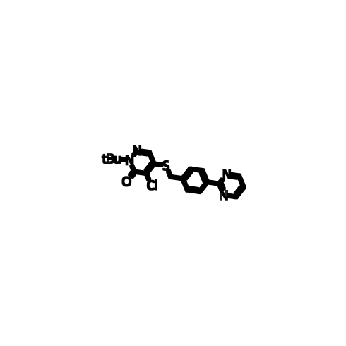 CC(C)(C)n1ncc(SCc2ccc(-c3ncccn3)cc2)c(Cl)c1=O